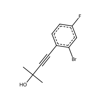 CC(C)(O)C#Cc1ccc(F)cc1Br